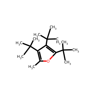 Cc1oc(C(C)(C)C)c(C(C)(C)C)c1C(C)(C)C